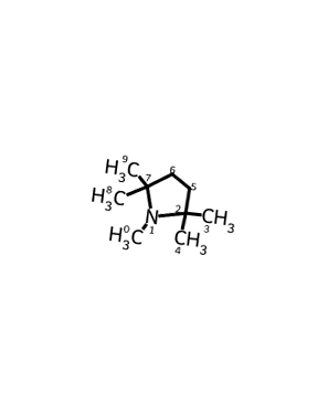 CN1C(C)(C)CCC1(C)C